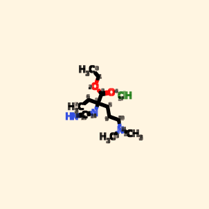 CCOC(=O)C(CC)(CCCN(C)C)N=C=N.Cl